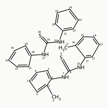 Cc1ccccc1NC(=S)Nc1ccccc1C.S=C(Nc1ccccc1)Nc1ccccc1